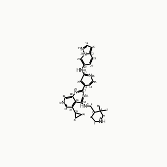 CC1(C)CNCCC1CNc1nc(-c2ccnc(Nc3ccc4ccnn4c3)c2)nc2cncc(C3CC3)c12